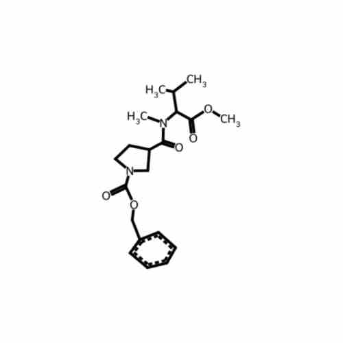 COC(=O)C(C(C)C)N(C)C(=O)C1CCN(C(=O)OCc2ccccc2)C1